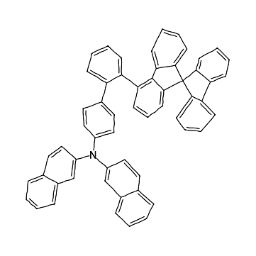 c1ccc(-c2cccc3c2-c2ccccc2C32c3ccccc3-c3ccccc32)c(-c2ccc(N(c3ccc4ccccc4c3)c3ccc4ccccc4c3)cc2)c1